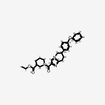 CCOC(=O)C1CCCN(C(=O)c2cn3c(n2)CCC(c2ccc(Oc4ccccc4)cc2)C3)C1